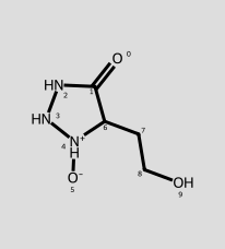 O=C1NN[NH+]([O-])C1CCO